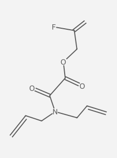 C=CCN(CC=C)C(=O)C(=O)OCC(=C)F